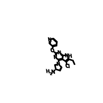 CCc1[nH]c2nc(Oc3cccnc3)nc(N3CC[C@H](N)C3)c2c1Cl